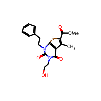 COC(=O)c1sc2c(c1C)c(=O)n(CCO)c(=O)n2CCc1ccccc1